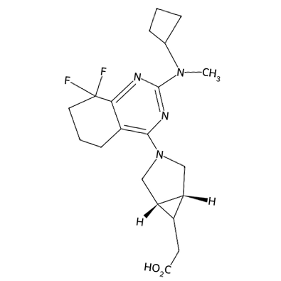 CN(c1nc(N2C[C@@H]3C(CC(=O)O)[C@@H]3C2)c2c(n1)C(F)(F)CCC2)C1CCC1